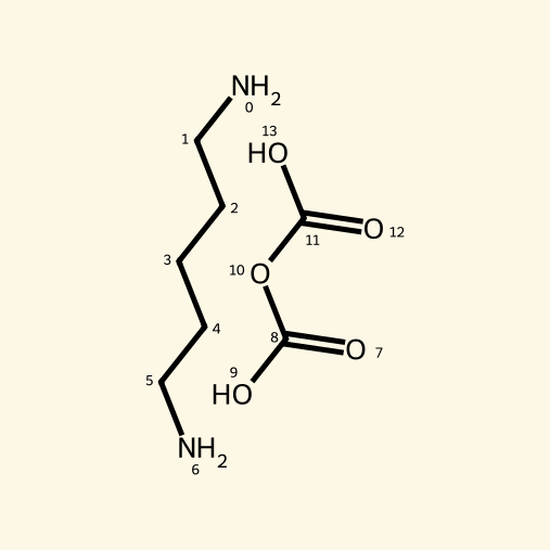 NCCCCCN.O=C(O)OC(=O)O